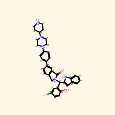 O=C1c2cc(-c3ccc(N4CCN(C5CCNCC5)CC4)cc3)ccc2CN1C(c1cc2ccccc2[nH]1)c1cc(F)ccc1O